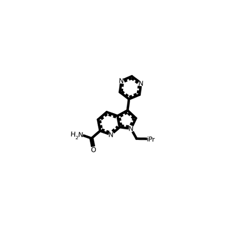 CC(C)Cn1cc(-c2cncnc2)c2ccc(C(N)=O)nc21